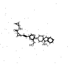 N[C@@H]1c2ccccc2CC12CCN(c1ncc(C#CC3CC3C(=O)NC3CC3)nc1CO)CC2